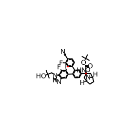 CC(C)(O)Cn1nnc2cc(-c3ccc(C(=O)N4[C@@H]5CC[C@H]4C[C@@H](NC(=O)OC(C)(C)C)C5)cc3-c3ccc(C#N)c(F)c3)c(F)c(F)c21